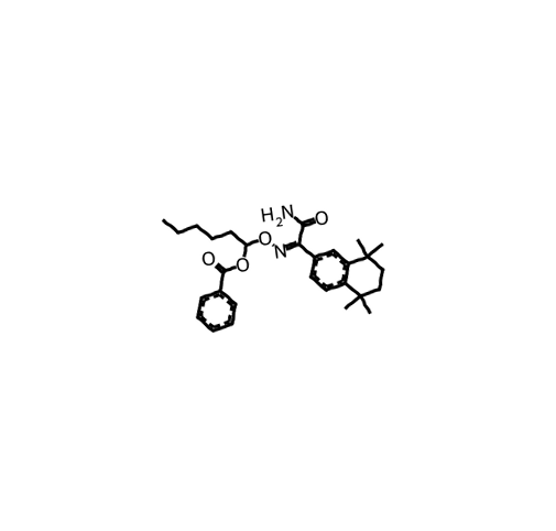 CCCCCC(ON=C(C(N)=O)c1ccc2c(c1)C(C)(C)CCC2(C)C)OC(=O)c1ccccc1